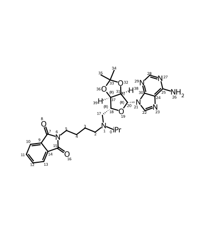 CC(C)N(CCCCN1C(=O)c2ccccc2C1=O)C[C@H]1O[C@@H](n2cnc3c(N)ncnc32)[C@@H]2OC(C)(C)O[C@@H]21